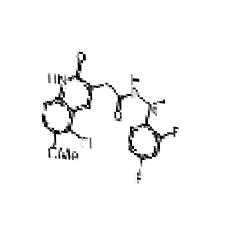 COc1ccc2[nH]c(=O)c(CC(=O)N[C@@H](C)c3ccc(F)cc3F)cc2c1Cl